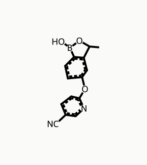 CC1OB(O)c2ccc(Oc3ccc(C#N)cn3)cc21